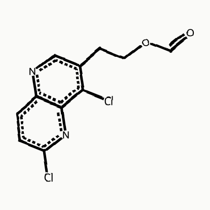 O=COCCc1cnc2ccc(Cl)nc2c1Cl